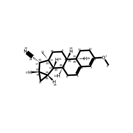 COC1=CC2=CC[C@@H]3[C@H](CC[C@@]4(C)[C@H]3[C@@H]3C[C@@H]3[C@@H]4C#N)[C@H]2CC1